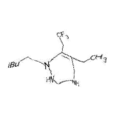 CCC(C)CN1NNC(C)=C1C(F)(F)F